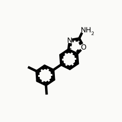 Cc1cc(C)cc(-c2ccc3oc(N)nc3c2)c1